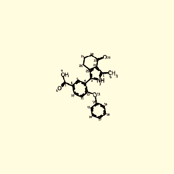 Cc1[nH]c(-c2cc(C(=O)O)ccc2Oc2ccccc2)c2c1C(=O)CCC2